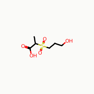 CC(C(=O)O)S(=O)(=O)CCCO